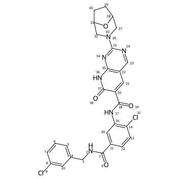 O=C(NCc1cccc(Cl)c1)c1ccc(Cl)c(NC(=O)c2cc3cnc(N4CC5CCC(C4)O5)nc3[nH]c2=O)c1